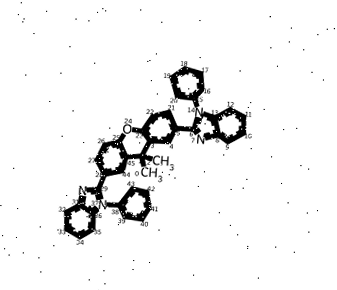 CC1(C)c2cc(-c3nc4ccccc4n3-c3ccccc3)ccc2Oc2ccc(-c3nc4ccccc4n3-c3ccccc3)cc21